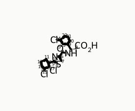 O=C(O)C[C@H](NC(=O)c1csc(-c2cccc(Cl)c2Cl)n1)c1cccc(Cl)c1